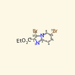 CCOC(=O)c1nc2ccc(Br)cn2c1Br